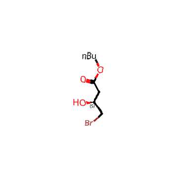 CCCCOC(=O)C[C@H](O)CBr